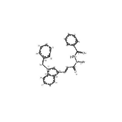 CC(C)N(NC(=O)c1ccccc1)C(=O)C=Cc1cn(Cc2ccccc2)c2ccccc12